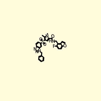 Cc1c(S(=O)(=O)c2ccc3nnn(Cc4ccccc4)c3c2)cc(C(=O)NCc2c(F)ccc3occc23)n1C